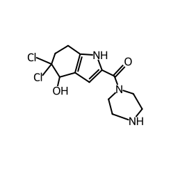 O=C(c1cc2c([nH]1)CCC(Cl)(Cl)C2O)N1CCNCC1